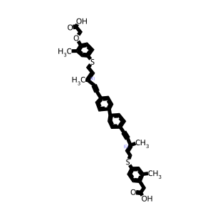 C/C(C#Cc1ccc(-c2ccc(C#C/C(C)=C/CSc3ccc(OCC(=O)O)c(C)c3)cc2)cc1)=C\CSc1ccc(CC(=O)O)c(C)c1